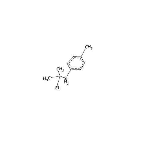 CCC(C)(C)[SiH2]c1ccc(C)cc1